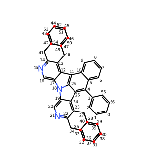 c1ccc(-c2c3ccccc3c3c4c5c(ncc4n4c6cnc7c(c6c2c34)C2c3ccccc3C7c3ccccc32)C2c3ccccc3C5c3ccccc32)cc1